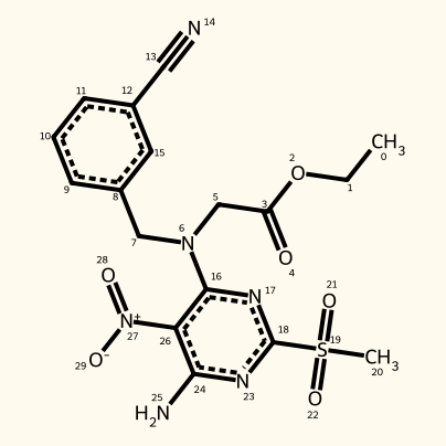 CCOC(=O)CN(Cc1cccc(C#N)c1)c1nc(S(C)(=O)=O)nc(N)c1[N+](=O)[O-]